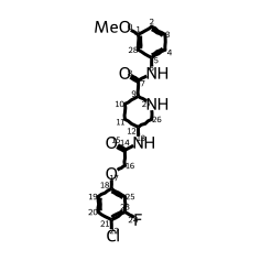 COc1cccc(NC(=O)C2CCC(NC(=O)COc3ccc(Cl)c(F)c3)CN2)c1